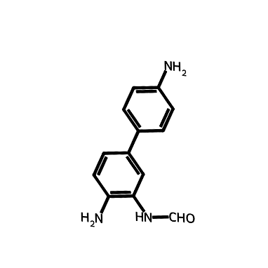 Nc1ccc(-c2ccc(N)c(NC=O)c2)cc1